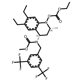 CCOC(=O)ON1c2cc(CC)c(CC)cc2[C@@H](N(Cc2cc(C(F)(F)F)cc(C(F)(F)F)c2)C(=O)OC)C[C@H]1C